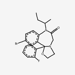 CCC(C)N1C(=O)CN2CCOC2(c2ccccc2F)c2cc(Br)ccc21